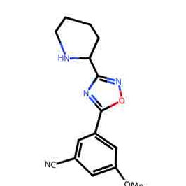 COc1cc(C#N)cc(-c2nc(C3CCCCN3)no2)c1